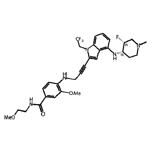 COCCNC(=O)c1ccc(NCC#Cc2cc3c(N[C@H]4CCN(C)C[C@H]4F)cccc3n2CC(F)(F)F)c(OC)c1